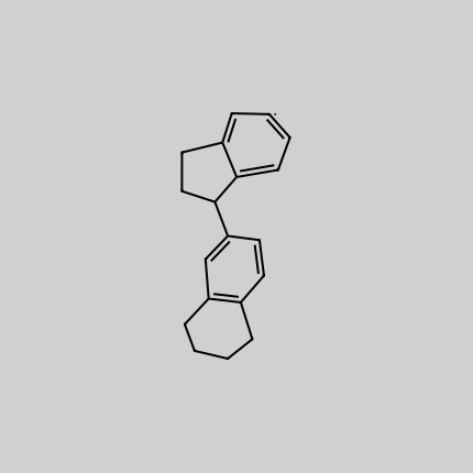 [c]1ccc2c(c1)CCC2c1ccc2c(c1)CCCC2